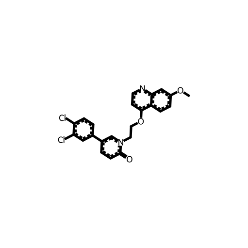 COc1ccc2c(OCCn3cc(-c4ccc(Cl)c(Cl)c4)ccc3=O)ccnc2c1